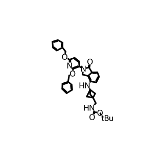 CC(C)(C)OC(=O)NCC12CC(Nc3cccc4c3CN(c3ccc(OCc5ccccc5)nc3OCc3ccccc3)C4=O)(C1)C2